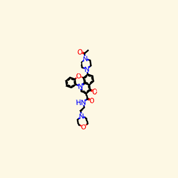 CC(=O)N1CCN(c2ccc3c(=O)c(C(=O)NCCN4CCOCC4)cn4c3c2Oc2ccccc2-4)CC1